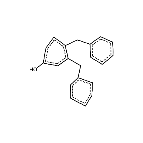 Oc1ccc(Cc2ccccc2)c(Cc2ccccc2)c1